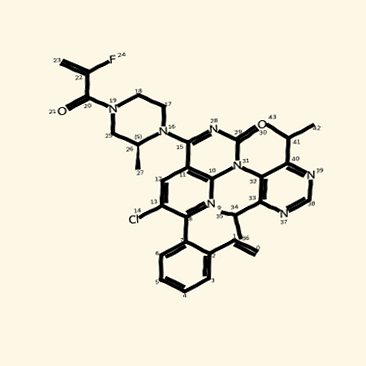 C=Cc1ccccc1-c1nc2c(cc1Cl)c(N1CCN(C(=O)C(=C)F)C[C@@H]1C)nc(=O)n2-c1c(C(C)C)ncnc1C(C)C